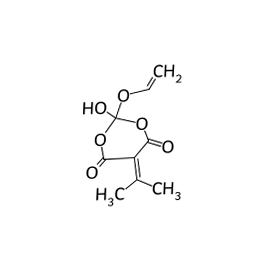 C=COC1(O)OC(=O)C(=C(C)C)C(=O)O1